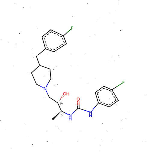 C[C@H](NC(=O)Nc1ccc(F)cc1)[C@@H](O)CN1CCC(Cc2ccc(F)cc2)CC1